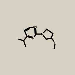 COC1CCN(c2nccc(C(C)C)n2)C1